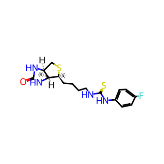 O=C1N[C@H]2[C@H](CS[C@H]2CCCCNC(=S)Nc2ccc(F)cc2)N1